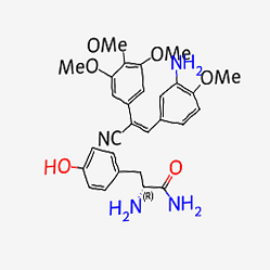 COc1ccc(C=C(C#N)c2cc(OC)c(OC)c(OC)c2)cc1N.NC(=O)[C@H](N)Cc1ccc(O)cc1